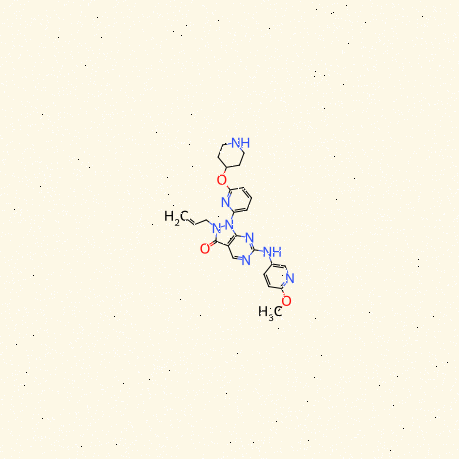 C=CCn1c(=O)c2cnc(Nc3ccc(OC)nc3)nc2n1-c1cccc(OC2CCNCC2)n1